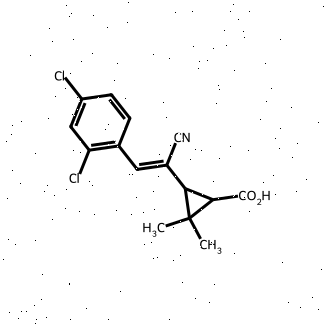 CC1(C)C(C(=O)O)C1/C(C#N)=C/c1ccc(Cl)cc1Cl